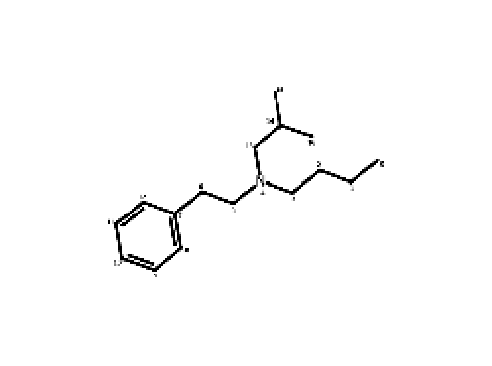 CCCCN(CCc1ccccc1)C[C](C)C